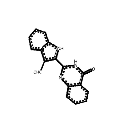 O=Cc1c(-c2nc3ccccc3c(=O)[nH]2)[nH]c2ccccc12